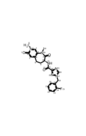 Cn1cc2c(cc1=O)CC[C@H](NC(=O)c1ncn(Cc3ccccc3F)n1)C(=O)N2I